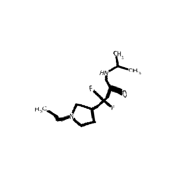 CCN1CCC(C(F)(F)C(=O)NC(C)C)C1